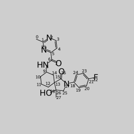 Cc1nccc(C(=O)NC2CCCC3(C2)C(=O)N(c2ccc(F)cc2)CC3(C)O)n1